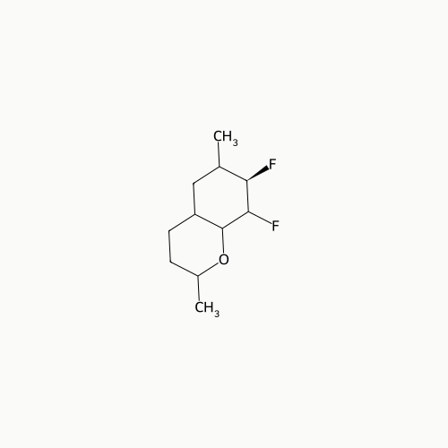 CC1CCC2CC(C)[C@@H](F)C(F)C2O1